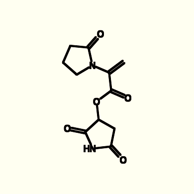 C=C(C(=O)OC1CC(=O)NC1=O)N1CCCC1=O